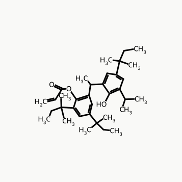 C=CC(=O)Oc1c(C(C)c2cc(C(C)(C)CC)cc(C(C)C)c2O)cc(C(C)(C)CC)cc1C(C)(C)CC